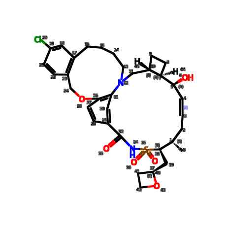 C[C@H]1C/C=C\[C@H](O)[C@@H]2CC[C@H]2CN2CCCCc3cc(Cl)ccc3COc3ccc(cc32)C(=O)NS(=O)(=O)[C@@H]1C[C@@H]1CCO1